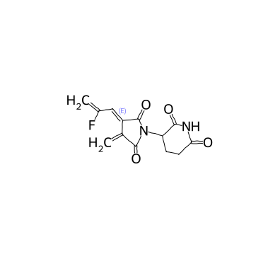 C=C(F)/C=C1\C(=C)C(=O)N(C2CCC(=O)NC2=O)C1=O